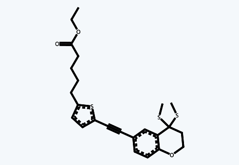 CCOC(=O)CCCCc1ccc(C#Cc2ccc3c(c2)C(SC)(SC)CCO3)s1